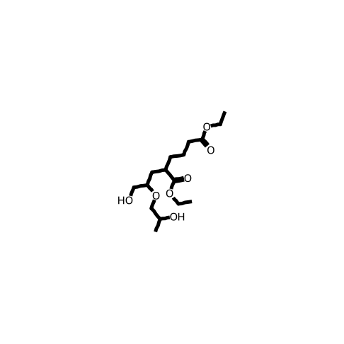 CCOC(=O)CCCC(CC(CO)OCC(C)O)C(=O)OCC